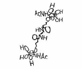 CC(=O)NC1C(O)[C@@H](O)C(CO)O[C@H]1OCCCCC(=O)NCCNC(=O)CCCCO[C@@H]1O[C@H](CO)[C@H](O)C(O)C1NC(C)=O